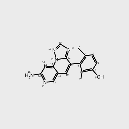 Cc1ccc(O)c(C)c1-c1cc2cnc(N)nc2n2ncnc12